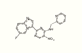 O=[N+]([O-])c1cnc(-c2cnc3ccc(F)cn23)nc1NCc1ccccn1